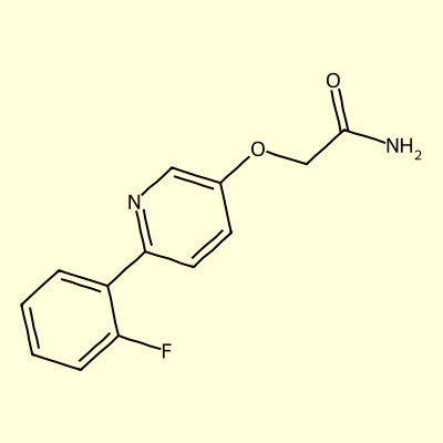 NC(=O)COc1ccc(-c2ccccc2F)nc1